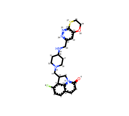 O=c1ccc2ccc(F)c3c2n1CC3CN1CCC(NCc2cc3c(nn2)SCCO3)CC1